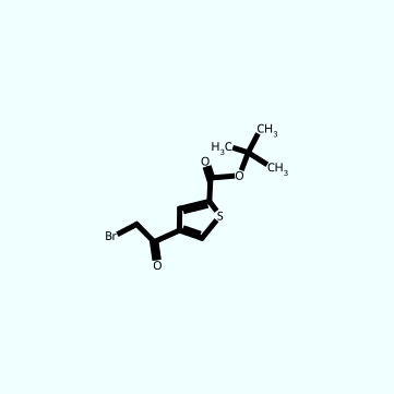 CC(C)(C)OC(=O)c1cc(C(=O)CBr)cs1